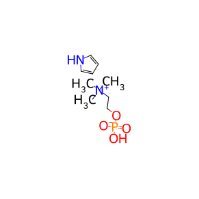 C[N+](C)(C)CCOP(=O)([O-])O.c1cc[nH]c1